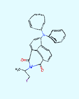 CC(CI)N1C(=O)c2cccc3c(N(c4ccccc4)c4ccccc4)ccc(c23)C1=O